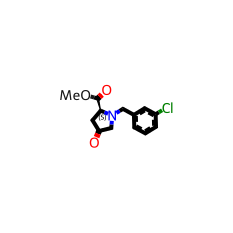 COC(=O)[C@@H]1CC(=O)CN1Cc1cccc(Cl)c1